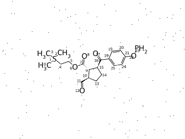 CS(C)(C)CCOC(=O)[C@H]1[C@H](C=O)CC[C@@H]1C(=O)c1ccc(OP)cc1